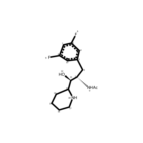 CC(=O)N[C@@H](Cc1cc(F)cc(F)c1)[C@H](O)C1CCCCN1